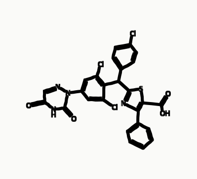 O=C(O)c1sc(C(c2ccc(Cl)cc2)c2c(Cl)cc(-n3ncc(=O)[nH]c3=O)cc2Cl)nc1-c1ccccc1